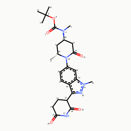 C[C@@H]1C[C@@H](N(C)C(=O)OC(C)(C)C)CC(=O)N1c1ccc2c(C3CCC(=O)NC3=O)nn(C)c2c1